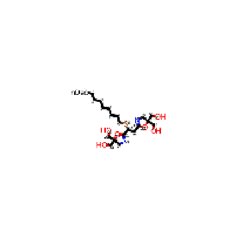 CCCCCCCCCCCCCCCCCCSC(CC1=NCC(CO)(CO)O1)C1=NCC(CO)(CO)O1